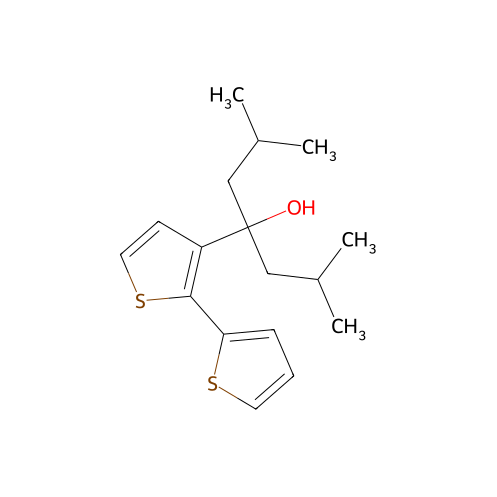 CC(C)CC(O)(CC(C)C)c1ccsc1-c1cccs1